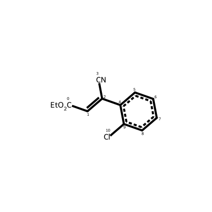 CCOC(=O)C=C(C#N)c1ccccc1Cl